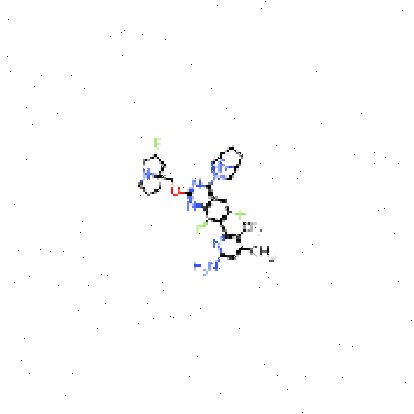 Cc1cc(N)nc(-c2c(F)cc3c(N4CC5CCC(C4)N5)nc(OCC45CCCN4C[C@H](F)C5)nc3c2F)c1C(F)(F)F